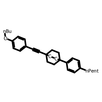 CCCCCc1ccc(C23CCC(C#Cc4ccc(OCCCC)cc4)(CC2)CC3)cc1